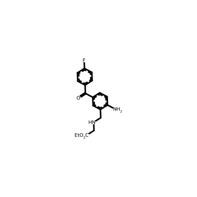 CCOC(=O)CNCc1cc(C(=O)c2ccc(F)cc2)ccc1N